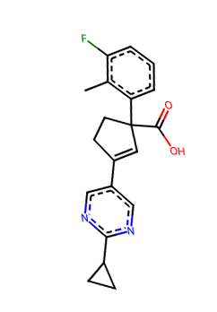 Cc1c(F)cccc1C1(C(=O)O)C=C(c2cnc(C3CC3)nc2)CC1